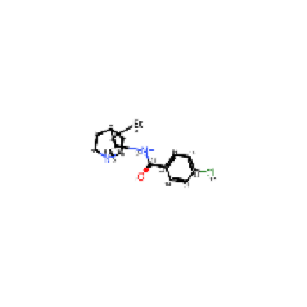 CCC1C2CCN(CC2)CC1NC(=O)c1ccc(Cl)cc1